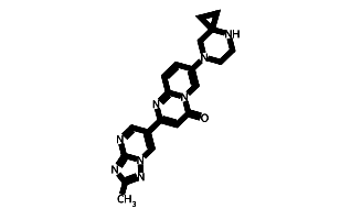 Cc1nc2ncc(-c3cc(=O)n4cc(N5CCNC6(CC6)C5)ccc4n3)cn2n1